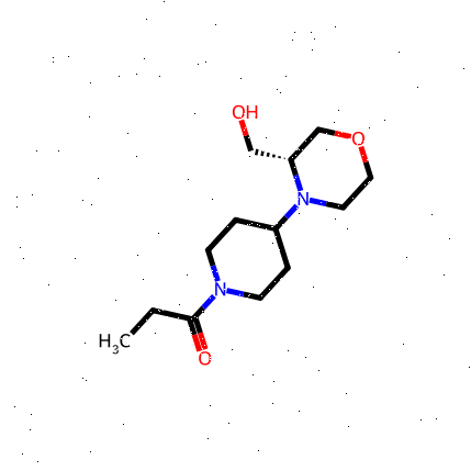 CCC(=O)N1CCC(N2CCOC[C@H]2CO)CC1